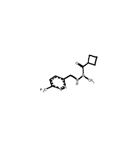 CN(NCc1ccc(C(F)(F)F)nn1)C(=O)C1CCC1